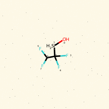 O[SiH2]C(F)(F)C(F)F